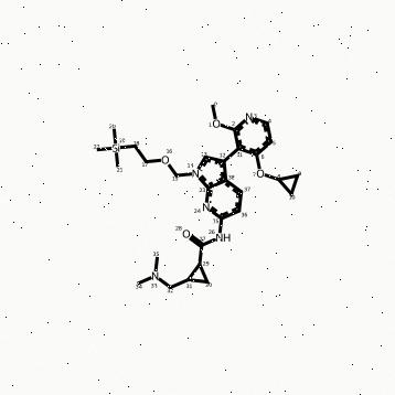 COc1nccc(OC2CC2)c1-c1cn(COCC[Si](C)(C)C)c2nc(NC(=O)C3CC3CN(C)C)ccc12